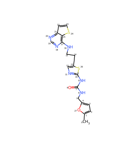 Cc1ccc(CNC(=O)Nc2ncc(CCNc3ncnc4ccsc34)s2)o1